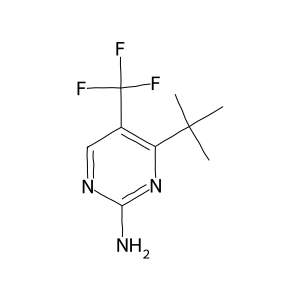 CC(C)(C)c1nc(N)ncc1C(F)(F)F